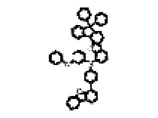 C\C=C/C(=C\C=N\c1ccccc1)N(c1ccc(-c2cccc3c2oc2ccccc23)cc1)c1cccc2c1oc1c3c(ccc12)C(c1ccccc1)(c1ccccc1)c1ccccc1-3